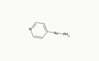 [PH2][Au][c]1ccncc1